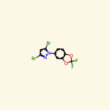 FC1(F)Oc2ccc(-n3nc(Br)cc3Br)cc2O1